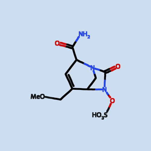 COCC1=CC(C(N)=O)N2CC1N(OS(=O)(=O)O)C2=O